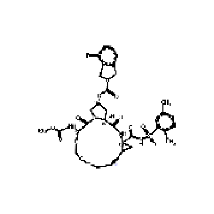 Cc1ccc(C)c(S(=O)(=O)NC(=O)[C@@]23CC2/C=C\CCCCC[C@H](NC(=O)OC(C)(C)C)C(=O)N2C[C@H](OC(=O)N4Cc5cccc(F)c5C4)C[C@H]2C(=O)N3)c1